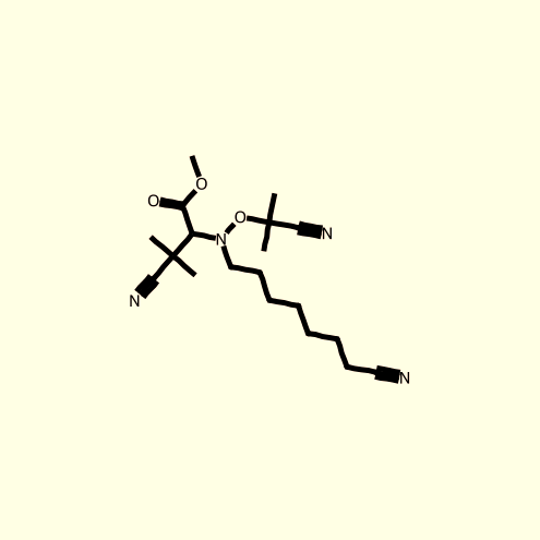 COC(=O)C(N(CCCCCCCC#N)OC(C)(C)C#N)C(C)(C)C#N